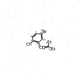 CCC(=O)CC.Clc1ccc(Br)cc1Cl